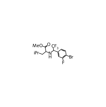 COC(=O)C(CC(C)C)NC(c1ccc(Br)c(F)c1)C(F)(F)F